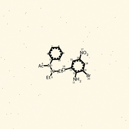 CCN(CC)N(C(C)=O)c1ccccc1.Nc1c(Cl)cc([N+](=O)[O-])cc1Br